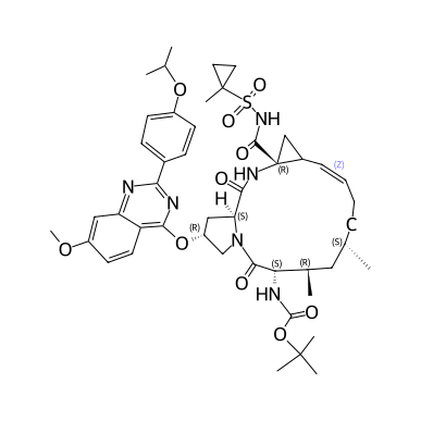 COc1ccc2c(O[C@@H]3C[C@H]4C(=O)N[C@]5(C(=O)NS(=O)(=O)C6(C)CC6)CC5/C=C\CC[C@H](C)C[C@@H](C)[C@H](NC(=O)OC(C)(C)C)C(=O)N4C3)nc(-c3ccc(OC(C)C)cc3)nc2c1